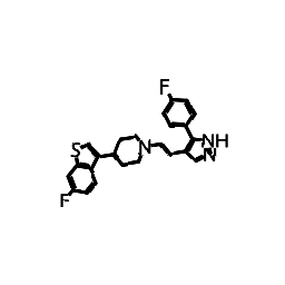 Fc1ccc(-c2[nH]ncc2CCN2CCC(c3csc4cc(F)ccc34)CC2)cc1